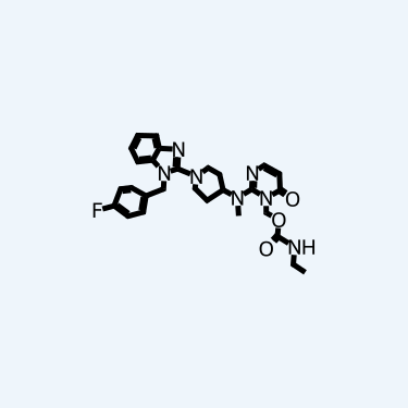 CCNC(=O)OCn1c(N(C)C2CCN(c3nc4ccccc4n3Cc3ccc(F)cc3)CC2)nccc1=O